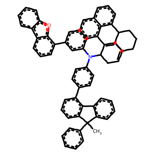 CC1(c2ccccc2)c2ccccc2-c2c(-c3ccc(N(c4cccc(-c5cccc6c5oc5ccccc56)c4)C4CC=CC=C4c4cccc5cccc(C6CCCCC6)c45)cc3)cccc21